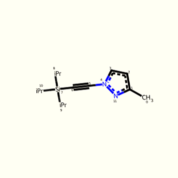 Cc1ccn(C#C[Si](C(C)C)(C(C)C)C(C)C)n1